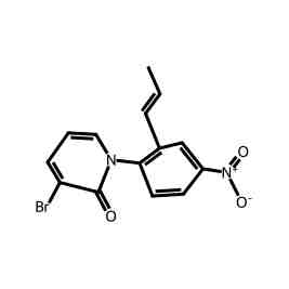 CC=Cc1cc([N+](=O)[O-])ccc1-n1cccc(Br)c1=O